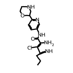 CCCC(=N)/C(Cl)=C(\N)C(=O)Nc1ccc(C2CNCCO2)nc1